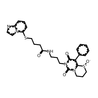 O=C(CCCSc1cccc2nccn12)NCCCn1c(=O)c(-c2ccccc2)c2n(c1=O)CCC[S+]2[O-]